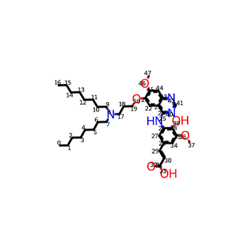 CCCCCCCCN(CCCCCCCC)CCCOc1cc2c(Nc3cc(/C=C/C(=O)O)cc(OC)c3O)ncnc2cc1OC